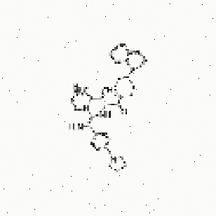 C=CC(=C)N(/C=C\N)/C(NCC(=O)N1CCC(c2cccc3ccccc23)CC1)=C(\N)c1ccc(N2CCCC2)cc1